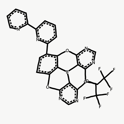 FC(F)(F)COc1ncnc2c1B1c3c(OCC(F)(F)F)ncnc3Oc3c(-c4cccc(-c5ccccn5)n4)ccc(c31)O2